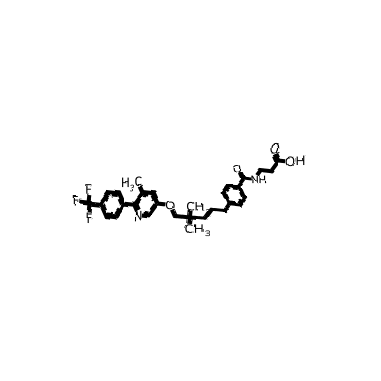 Cc1cc(OCC(C)(C)CCCc2ccc(C(=O)NCCC(=O)O)cc2)cnc1-c1ccc(C(F)(F)F)cc1